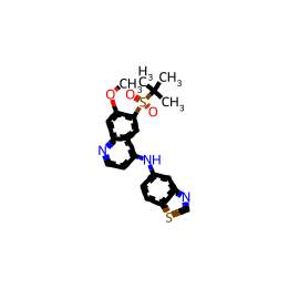 COc1cc2nccc(Nc3ccc4scnc4c3)c2cc1S(=O)(=O)C(C)(C)C